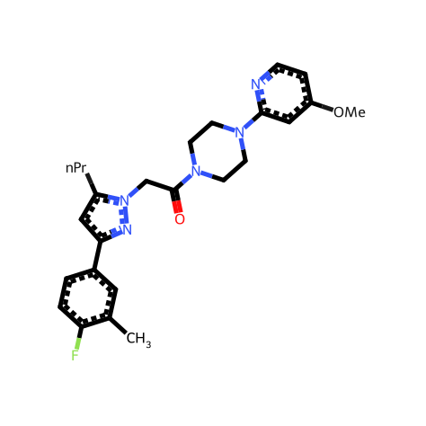 CCCc1cc(-c2ccc(F)c(C)c2)nn1CC(=O)N1CCN(c2cc(OC)ccn2)CC1